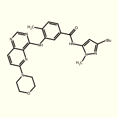 Cc1ccc(C(=O)Nc2cc(C(C)(C)C)nn2C)cc1Nc1ncnc2ccc(N3CCOCC3)nc12